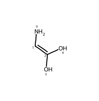 NC=C(O)O